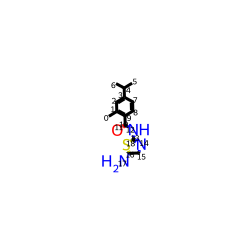 Cc1cc(C(C)C)ccc1C(=O)NC1=NCC(N)S1